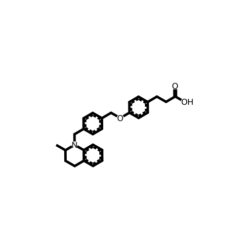 CC1CCc2ccccc2N1Cc1ccc(COc2ccc(CCC(=O)O)cc2)cc1